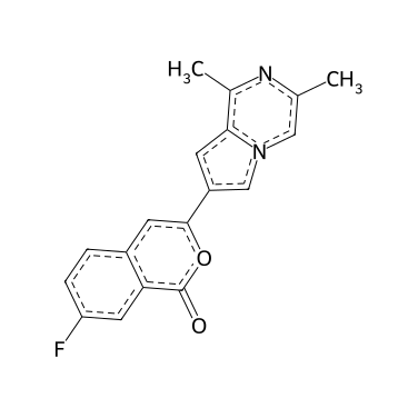 Cc1cn2cc(-c3cc4ccc(F)cc4c(=O)o3)cc2c(C)n1